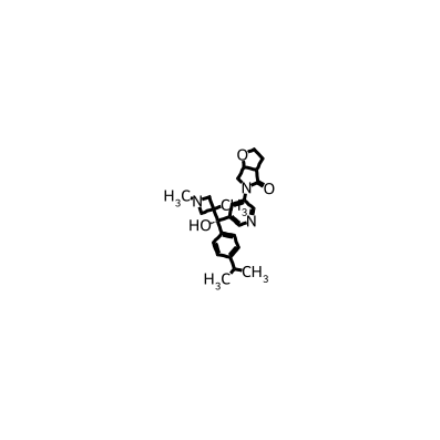 CC(C)c1ccc([C@](O)(c2cncc(N3CC4OCCC4C3=O)c2)C2(C)CN(C)C2)cc1